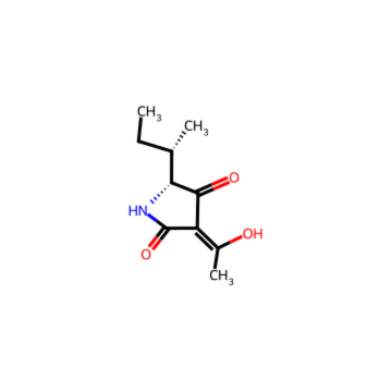 CC[C@H](C)[C@H]1NC(=O)/C(=C(\C)O)C1=O